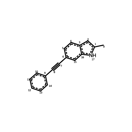 Cc1cc2ccc(C#Cc3ccccc3)cc2[nH]1